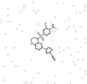 CNc1ccc(S(=O)(=O)N2CCOc3ccc(-c4csc(C#N)n4)cc32)cc1F